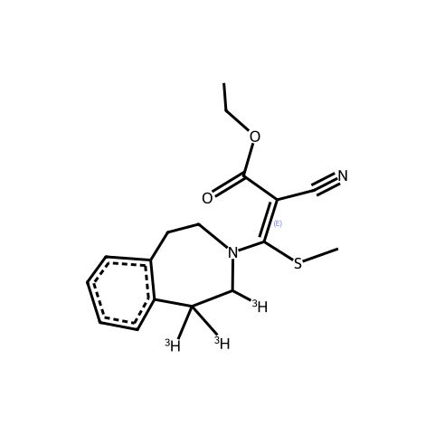 [3H]C1N(/C(SC)=C(/C#N)C(=O)OCC)CCc2ccccc2C1([3H])[3H]